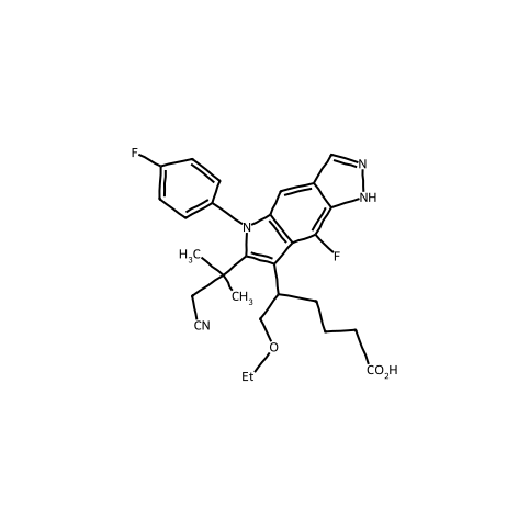 CCOCC(CCCC(=O)O)c1c(C(C)(C)CC#N)n(-c2ccc(F)cc2)c2cc3cn[nH]c3c(F)c12